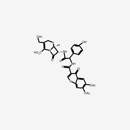 CC(=O)OCC1=C(C(=O)O)N2C(=O)[C@@H](NC(=O)C(NC(=O)c3coc4cc(OC(C)=O)c(OC(C)=O)cc4c3=O)c3ccc(O)cc3)[C@@H]2SC1